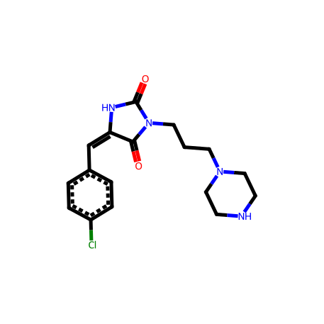 O=C1NC(=Cc2ccc(Cl)cc2)C(=O)N1CCCN1CCNCC1